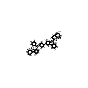 c1ccc(N(c2ccc(-c3ccc4c(c3)c3ccccc3n4-c3ccc4cccnc4n3)cc2)c2cccc3c2oc2ccccc23)cc1